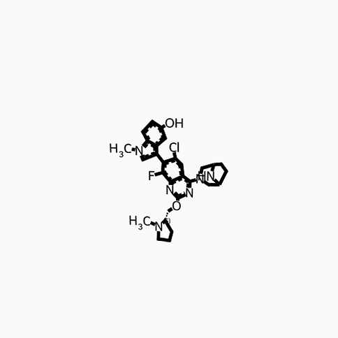 CN1CCC[C@H]1COc1nc(N2CC3CCC(C2)N3)c2cc(Cl)c(-c3cn(C)c4ccc(O)cc34)c(F)c2n1